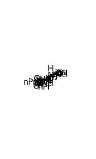 CCCn1c(=O)c2nc(-c3cc(NC(=O)Cc4ccc(Cl)cc4)nn3C)[nH]c2n(CCC)c1=O